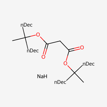 CCCCCCCCCCC(C)(CCCCCCCCCC)OC(=O)CC(=O)OC(C)(CCCCCCCCCC)CCCCCCCCCC.[NaH]